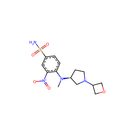 CN(c1ccc(S(N)(=O)=O)cc1[N+](=O)[O-])[C@H]1CCN(C2COC2)C1